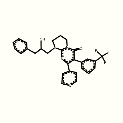 O=c1c(-c2cccc(C(F)(F)F)c2)c(-c2ccncc2)nc2n1CCCN2CC(O)Cc1ccccc1